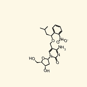 CC(C)C[C@H](OCc1cn([C@H]2C[C@@H](O)[C@@H](CO)O2)c(=O)nc1N)c1ccccc1[N+](=O)[O-]